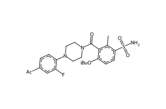 CC(=O)c1ccc(N2CCN(C(=O)c3c(OCC(C)C)ccc(S(N)(=O)=O)c3C)CC2)c(F)c1